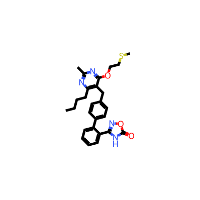 CCCCc1nc(C)nc(OCCSC)c1Cc1ccc(-c2ccccc2-c2noc(=O)[nH]2)cc1